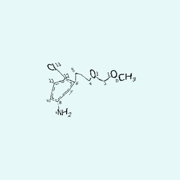 COCOCCc1cc(N)ccc1Cl